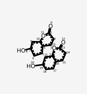 O=c1ccc2ccc(O)cc2o1.O=c1ccc2ccc(O)cc2o1